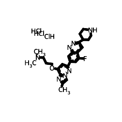 Cc1cn2nc(-c3cc(F)c4cc(C5CCNCC5)nnc4c3)cc(OCCCN(C)C)c2n1.Cl.Cl.Cl